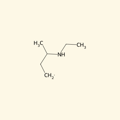 [CH2]CC(C)NCC